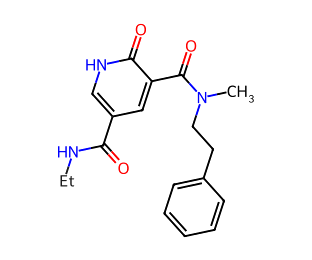 CCNC(=O)c1c[nH]c(=O)c(C(=O)N(C)CCc2ccccc2)c1